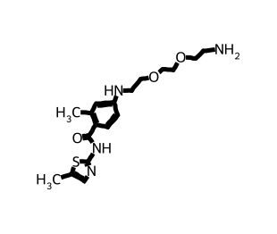 Cc1cnc(NC(=O)c2ccc(NCCOCCOCCN)cc2C)s1